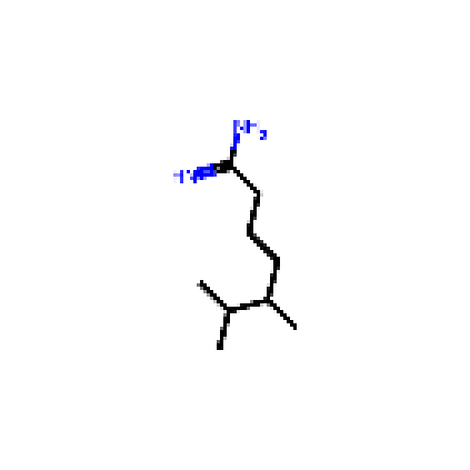 C[C](CCCC(=N)N)C(C)C